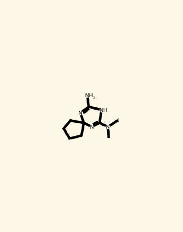 CN(I)C1=NC2(CCCC2)N=C(N)N1